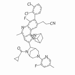 Cc1cnc(N2CC3CC(C2)N(C(=O)C2CC2)C3c2cc3c(C)nc4c(F)c(-c5cccc(Cl)c5Cl)c(CCC#N)cc4c3n2C2C3CNC2C3)c(F)c1